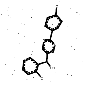 OC(c1cnc(-c2ccc(Cl)cc2)nc1)c1ccccc1Cl